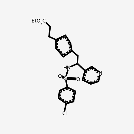 CCOC(=O)CCc1ccc(CC(NS(=O)(=O)c2ccc(Cl)cc2)c2cccnc2)cc1